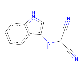 N#CC(C#N)Nc1c[nH]c2ccccc12